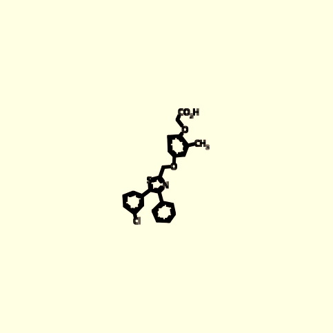 Cc1cc(OCc2nc(-c3ccccc3)c(-c3cccc(Cl)c3)s2)ccc1OCC(=O)O